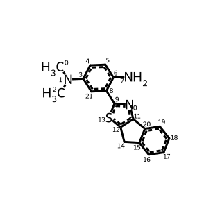 CN(C)c1ccc(N)c(-c2nc3c(s2)Cc2ccccc2-3)c1